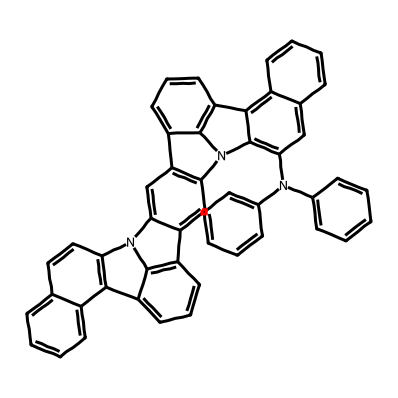 c1ccc(N(c2ccccc2)c2cc3ccccc3c3c4cccc5c6cc7c(cc6n(c23)c54)c2cccc3c4c5ccccc5ccc4n7c23)cc1